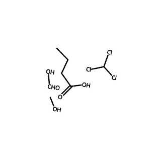 CCCC(=O)O.CO.ClC(Cl)Cl.O=CO